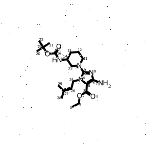 CCOC(=O)c1c(N)nc(N2CCCC(NC(=O)OC(C)(C)C)C2)n1CC=C(C)C